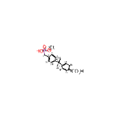 CCOP(=O)(O)Cc1ccc(C(C)(C)c2ccc(C(=O)O)cc2)cc1